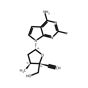 C#C[C@]1(CO)O[C@@H](n2ccc3c(N)nc(F)nc32)C[C@@H]1C